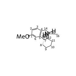 COc1ccc2c(c1)[C@]13CCCC[C@@H]1[C@@H](C2)N(C)CC3